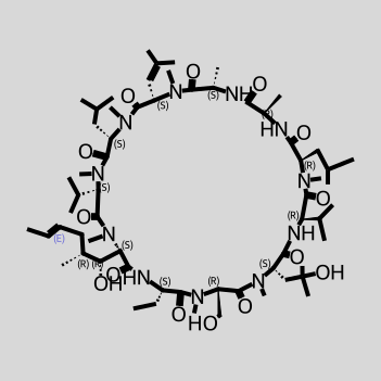 C/C=C/C[C@@H](C)[C@@H](O)[C@H]1C(=O)N[C@@H](CC)C(=O)N(C)[C@H](CO)C(=O)N(C)[C@@H](CC(C)(C)O)C(=O)N[C@H](C(C)C)C(=O)N(C)[C@H](CC(C)C)C(=O)N[C@H](C)C(=O)N[C@@H](C)C(=O)N(C)[C@@H](C=C(C)C)C(=O)N(C)[C@@H](CC(C)C)C(=O)N(C)[C@@H](C(C)C)C(=O)N1C